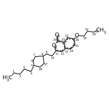 CCCCCC1CCC(CCc2cc3ccc(OCCCC)cc3c(=O)o2)CC1